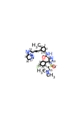 Cc1ccc(NC(=O)c2ncn([S+]([O-])CCN(C)C)c2-c2ccc(F)cc2)cc1C#Cc1cnc2cccnn12